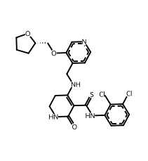 O=C1NCCC(NCc2ccncc2OC[C@@H]2CCCO2)=C1C(=S)Nc1cccc(Cl)c1Cl